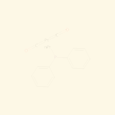 CCCP(c1ccccc1)c1ccccc1.O=[C]=[Pt]=[C]=O